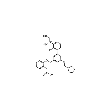 N[C@H](CO)c1cccc(-c2cc(COc3ccccc3CC(=O)O)cc(OCC3CCCO3)c2)c1F